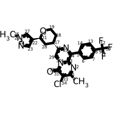 Cc1nc2c(-c3ccc(C(F)(F)F)cc3)nc([C@H]3CCO[C@H](c4cnn(C)c4)C3)cn2c(=O)c1Cl